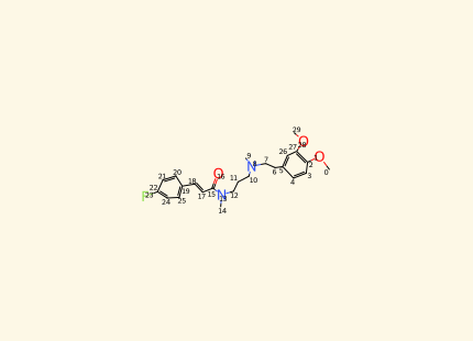 COc1ccc(CCN(C)CCCN(C)C(=O)/C=C/c2ccc(F)cc2)cc1OC